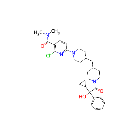 CN(C)C(=O)c1ccc(N2CCC(CC3CCN(C(=O)C(O)(c4ccccc4)C4CC4)CC3)CC2)nc1Cl